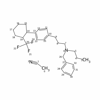 CC#N.CCCN(CCCc1ccc(C2CCCCC2C(F)(F)F)cc1)Cc1ccccc1